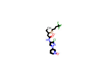 CCC(CC(=O)Nc1cn(-c2ccc[n+]([O-])c2)nc1Cl)[S+]([O-])CCCC(F)(F)F